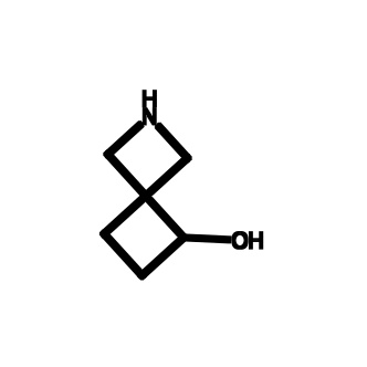 OC1CCC12CNC2